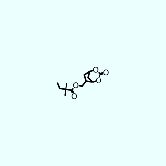 CCC(C)(C)C(=O)OCC1CC2CC1OC(=O)O2